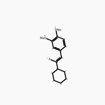 COc1ccc(C=C(F)C2CCCCC2)cc1OC